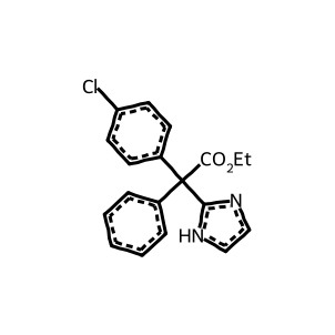 CCOC(=O)C(c1ccccc1)(c1ccc(Cl)cc1)c1ncc[nH]1